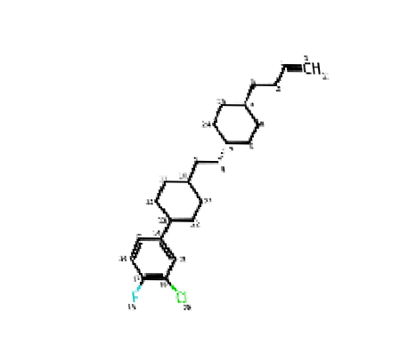 C=CCC[C@H]1CC[C@H](CCC2CCC(c3ccc(F)c(Cl)c3)CC2)CC1